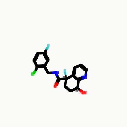 O=C(NCc1cc(F)ccc1Cl)[C@]1(F)CC[C@H](O)c2ncccc21